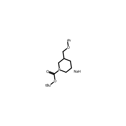 CC(C)OCC1CCCN(C(=O)OC(C)(C)C)C1.[NaH]